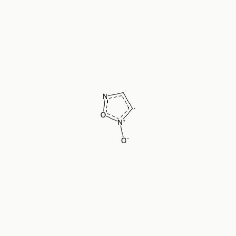 [O-][n+]1[c]cno1